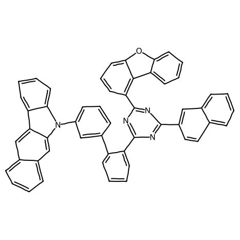 c1cc(-c2ccccc2-c2nc(-c3ccc4ccccc4c3)nc(-c3cccc4oc5ccccc5c34)n2)cc(-n2c3ccccc3c3cc4ccccc4cc32)c1